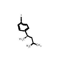 CC(C)C[C@@H](C)c1ccc(I)cc1